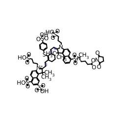 CN(CCCC(=O)ON1C(=O)CCC1=O)S(=O)(=O)c1cccc2c3c(ccc12)N(CCCS(=O)(=O)O)/C(=C/C=C1\CCCC(/C=C/C2=[N+](CCCS(=O)(=O)O)c4ccc5c(S(=O)(=O)O)cc(S(=O)(=O)O)cc5c4C2(C)C)=C1Sc1ccc(S(=O)(=O)O)cc1)C3(C)C